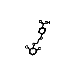 O=C(O)c1ccc(OCCOc2c(Cl)cccc2Cl)cc1